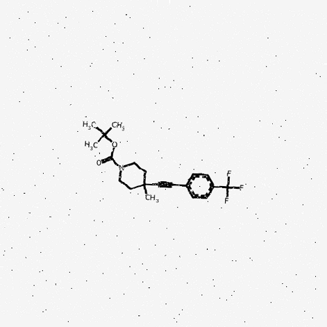 CC1(C#Cc2ccc(C(F)(F)F)cc2)CCN(C(=O)OC(C)(C)C)CC1